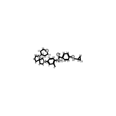 Cc1cc(N2CCC3(CCCN3C3CCOCC3)C2)ccc1NC(=O)c1ccc(OCC2CC2)cc1